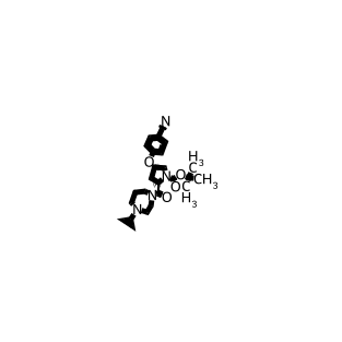 CC(C)(C)OC(=O)N1C[C@@H](Oc2ccc(C#N)cc2)C[C@@H]1C(=O)N1CCCN(C2CC2)CC1